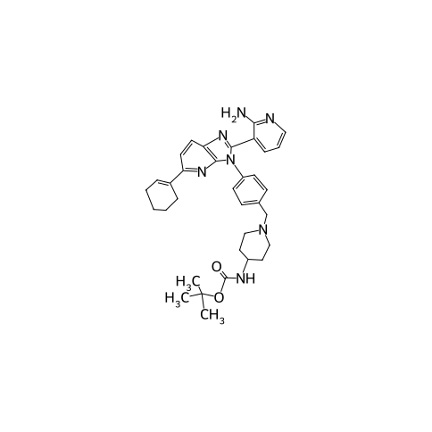 CC(C)(C)OC(=O)NC1CCN(Cc2ccc(-n3c(-c4cccnc4N)nc4ccc(C5=CCCCC5)nc43)cc2)CC1